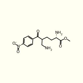 COC(=O)[C@@H](N)CCC(CN)C(=O)c1ccc([N+](=O)[O-])cc1